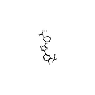 O=C(O)N1CCC[C@@H](c2nc(-c3ccc(I)c(C(F)(F)F)c3)no2)C1